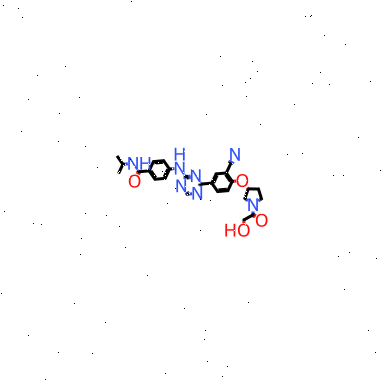 CC(C)NC(=O)c1ccc(Nc2ncnc(-c3ccc(OC4CCN(C(=O)CO)C4)c(C#N)c3)n2)cc1